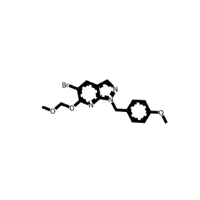 COCOc1nc2c(cnn2Cc2ccc(OC)cc2)cc1Br